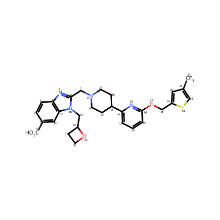 O=C(O)c1ccc2nc(CN3CCC(c4cccc(OCc5cc(C(F)(F)F)cs5)n4)CC3)n(CC3CCO3)c2c1